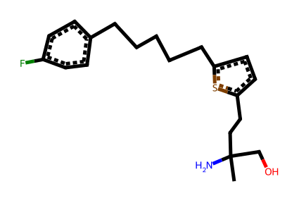 CC(N)(CO)CCc1ccc(CCCCCc2ccc(F)cc2)s1